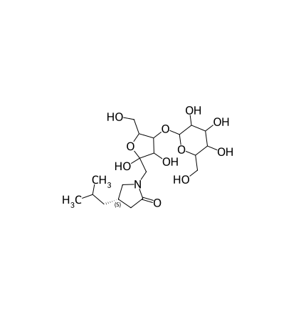 CC(C)C[C@H]1CC(=O)N(CC2(O)OC(CO)C(OC3OC(CO)C(O)C(O)C3O)C2O)C1